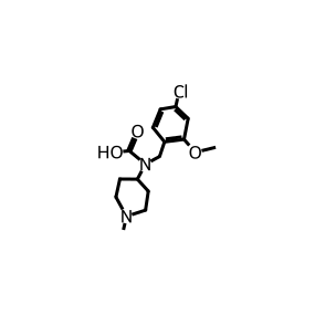 COc1cc(Cl)ccc1CN(C(=O)O)C1CCN(C)CC1